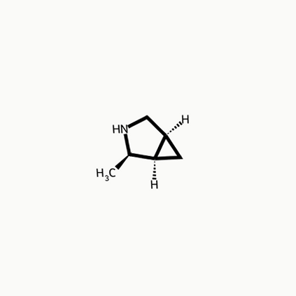 C[C@H]1NC[C@H]2C[C@H]21